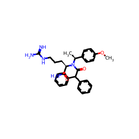 COc1ccc([C@H](C)N(C(=O)C(c2ccccc2)c2ccccc2)[C@H](CCCNC(=N)N)C(N)=O)cc1